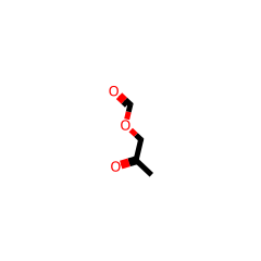 CC(=O)COC=O